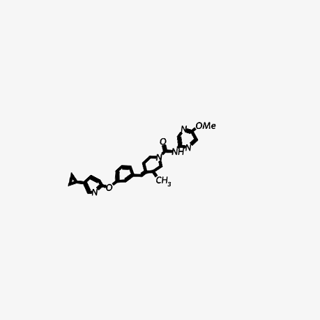 COc1cnc(NC(=O)N2CCC(=Cc3cccc(Oc4ccc(C5CC5)cn4)c3)C(C)C2)cn1